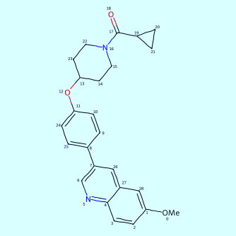 COc1ccc2ncc(-c3ccc(OC4CCN(C(=O)C5CC5)CC4)cc3)cc2c1